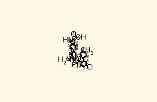 Cc1ccc(-c2cc(Cl)ccc2C(Oc2cc(N3CCC4(CC3)CN[C@H](C(=O)O)C4)nc(N)n2)C(F)(F)F)cc1